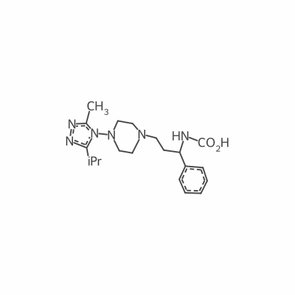 Cc1nnc(C(C)C)n1N1CCN(CCC(NC(=O)O)c2ccccc2)CC1